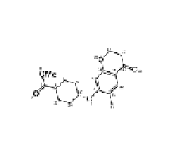 COC(=O)[C@H]1CC[C@H](Oc2cc3c(cc2C)C(=O)CCO3)CC1